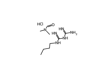 CCCCNC(=N)NC(=N)N.CN(C)C=O.Cl